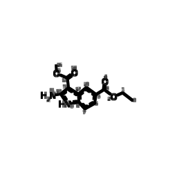 CCOC(=O)c1ccc2[nH]c(N)c(C(=O)OC)c2c1